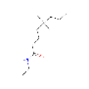 CCCC(C)(C)CCCC(=O)NCC